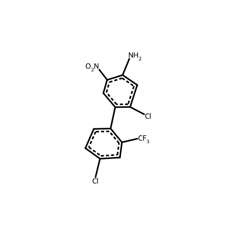 Nc1cc(Cl)c(-c2ccc(Cl)cc2C(F)(F)F)cc1[N+](=O)[O-]